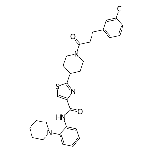 O=C(Nc1ccccc1N1CCCCC1)c1csc(C2CCN(C(=O)CCc3cccc(Cl)c3)CC2)n1